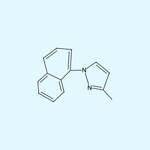 Cc1ccn(-c2cccc3ccccc23)n1